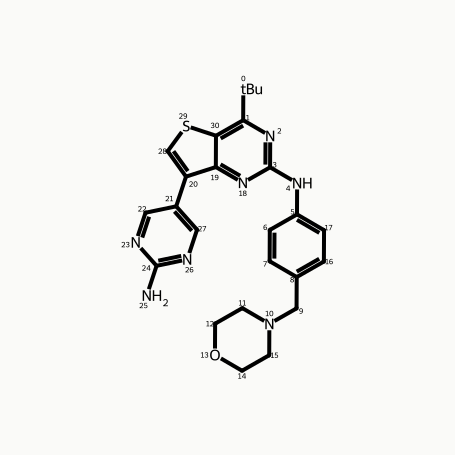 CC(C)(C)c1nc(Nc2ccc(CN3CCOCC3)cc2)nc2c(-c3cnc(N)nc3)csc12